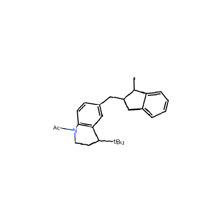 CC(=O)N1CCC(C(C)(C)C)c2cc(CC3Cc4ccccc4C3C)ccc21